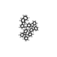 c1ccc(C2(c3ccccc3)c3ccccc3-c3ccc(N(c4ccc([Si](c5ccccc5)(c5ccccc5)c5ccccc5)cc4)c4cccc5c4oc4c6ccccc6ccc54)cc32)cc1